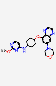 CCOc1nccc(NC2CCC(Oc3cc(N4CCOCC4)cc4nccnc34)CC2)n1